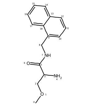 COCC(N)C(=O)NCc1cccc2ccccc12